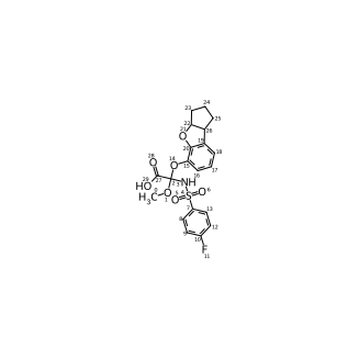 COC(NS(=O)(=O)c1ccc(F)cc1)(Oc1cccc2c1OC1CCCC21)C(=O)O